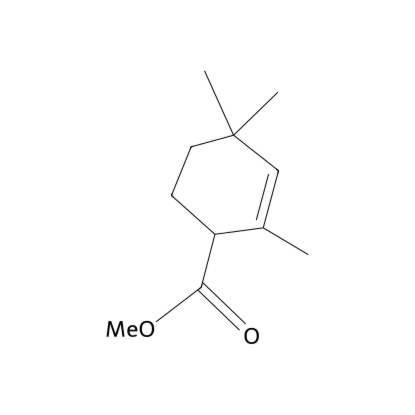 COC(=O)C1CCC(C)(C)C=C1C